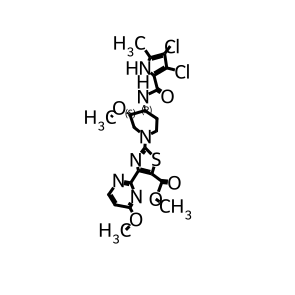 COC(=O)c1sc(N2CC[C@@H](NC(=O)c3[nH]c(C)c(Cl)c3Cl)[C@@H](OC)C2)nc1-c1nccc(OC)n1